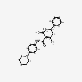 O=C(Nc1ccc(N2CCCCC2)cc1)C1=C(O)CC(c2ccccc2)NC1=O